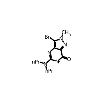 CCCN(CCC)C1=Nc2c(nn(C)c2Br)C(=O)[N]1